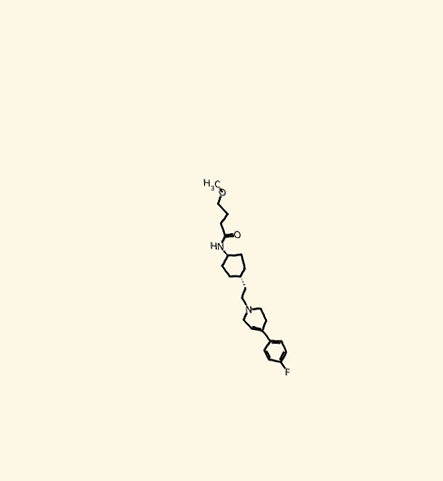 COCCCC(=O)N[C@H]1CC[C@H](CCN2CC=C(c3ccc(F)cc3)CC2)CC1